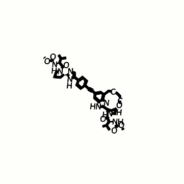 COC(=O)N[C@H](C(=O)N1CCC[C@H]1c1ncc(-c2ccc(C#Cc3cc4c5nc([nH]c5c3)[C@@H]3C[C@@H](CN3C(=O)[C@@H](NC(=O)OC)C(C)C)OCCCCC4)cc2)[nH]1)C(C)C